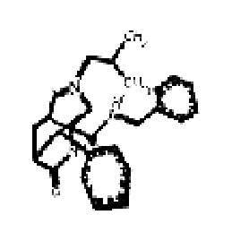 CC(C)CN1CC2CC3C(=O)NC2(C(=O)NCc2ccccc2)C1C3c1ccccc1